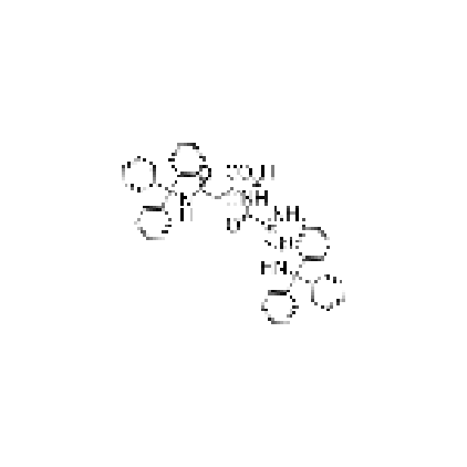 N[C@H](CC(=O)NC(c1ccccc1)(c1ccccc1)c1ccccc1)C(=O)N[C@H](CC(=O)NC(c1ccccc1)(c1ccccc1)c1ccccc1)C(=O)O